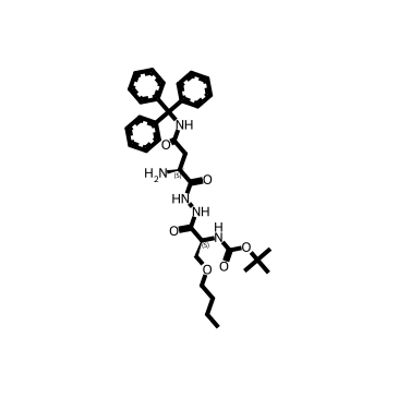 CCCCOC[C@H](NC(=O)OC(C)(C)C)C(=O)NNC(=O)[C@@H](N)CC(=O)NC(c1ccccc1)(c1ccccc1)c1ccccc1